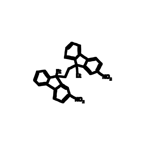 CCC1(CCC2(CC)c3ccccc3-c3ccc([N+](=O)[O-])cc32)c2ccccc2-c2ccc([N+](=O)[O-])cc21